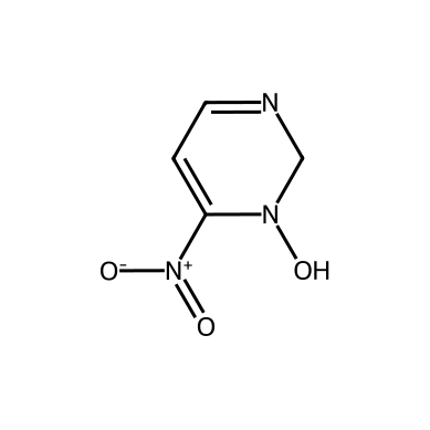 O=[N+]([O-])C1=CC=NCN1O